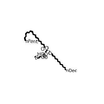 CCCCC/C=C\C/C=C\C/C=C\CCCCCCCCC(=O)O[C@H](COC=CCCCCCCCCCCCCCCCCCCCC)COP(=O)(O)OCC[N+](C)(C)C